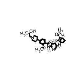 COc1cc(C2CCN(C[C@@H](C)O)CC2)ccc1-c1nc2c(N[C@H]3[C@@H](C(N)=O)[C@@H]4C=C[C@H]3C4)c(Cl)cnc2[nH]1